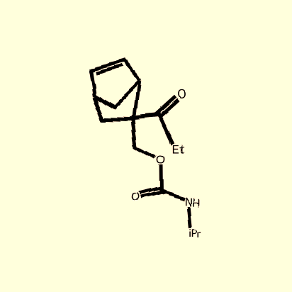 CCC(=O)C1(COC(=O)NC(C)C)CC2C=CC1C2